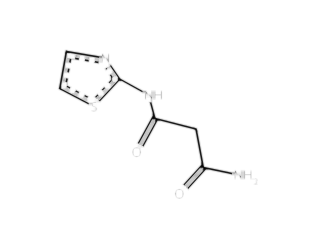 NC(=O)CC(=O)Nc1nccs1